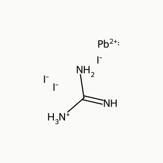 N=C(N)[NH3+].[I-].[I-].[I-].[Pb+2]